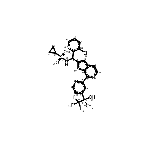 C[C@@](O)(c1ccnc(-c2nccc3cc(C(NS(=O)(=O)C4CC4)c4ncccc4Cl)sc23)c1)C(F)(F)F